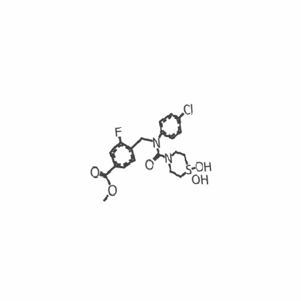 COC(=O)c1ccc(CN(C(=O)N2CCS(O)(O)CC2)c2ccc(Cl)cc2)c(F)c1